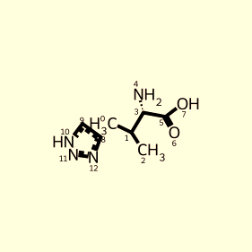 CC(C)[C@H](N)C(=O)O.c1c[nH]nn1